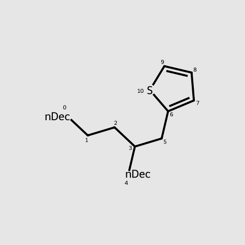 CCCCCCCCCCCCC(CCCCCCCCCC)Cc1cccs1